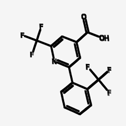 O=C(O)c1cc(-c2ccccc2C(F)(F)F)nc(C(F)(F)F)c1